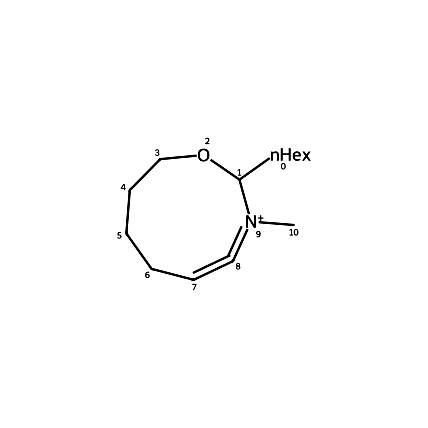 CCCCCCC1OCCCCC=C=[N+]1C